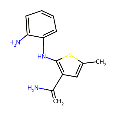 C=C(N)c1cc(C)sc1Nc1ccccc1N